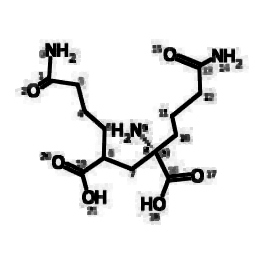 NC(=O)CCCC(C[C@@](N)(CCCC(N)=O)C(=O)O)C(=O)O